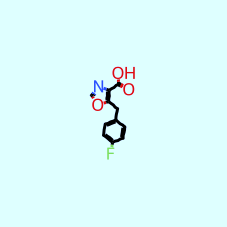 O=C(O)c1ncoc1Cc1ccc(F)cc1